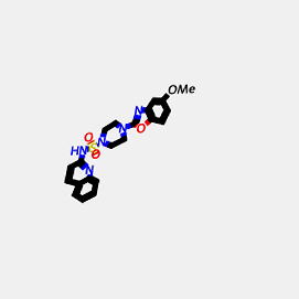 COc1ccc2oc(N3CCN(S(=O)(=O)Nc4ccc5ccccc5n4)CC3)nc2c1